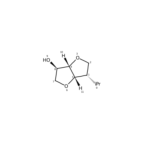 CC(C)[C@H]1CO[C@@H]2[C@H]1OC[C@H]2O